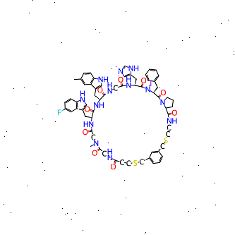 Cc1ccc2[nH]cc(C[C@@H]3NC(=O)[C@H](Cc4c[nH]c5ccc(F)cc45)NC(=O)CN(C)C(=O)CNC(=O)CCSCc4cccc(c4)CSCCNC(=O)C4CCCN4C(=O)[C@H](Cc4ccccc4)N(I)C(=O)[C@H](Cc4cnc[nH]4)NC(=O)CNC3=O)c2c1